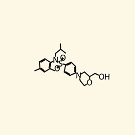 Cc1ccc(N(CC(C)C)S(=O)(=O)c2ccc(N3CCOC(CO)C3)cc2)c(C)c1